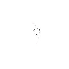 CCOCCc1ccc(B(O)O)cc1